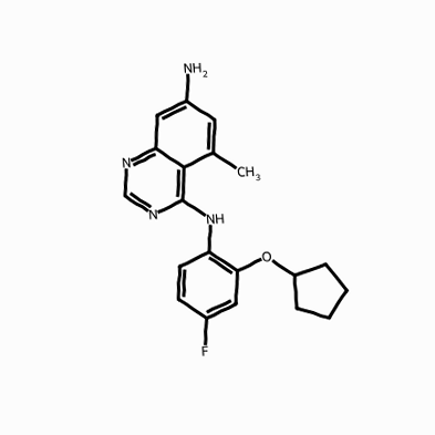 Cc1cc(N)cc2ncnc(Nc3ccc(F)cc3OC3CCCC3)c12